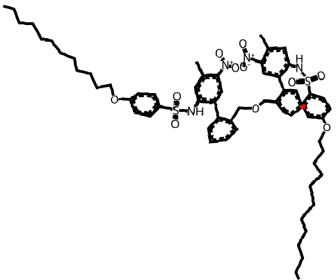 CCCCCCCCCCCCOc1ccc(S(=O)(=O)Nc2cc(C)c([N+](=O)[O-])cc2-c2ccccc2COCc2ccccc2-c2cc([N+](=O)[O-])c(C)cc2NS(=O)(=O)c2ccc(OCCCCCCCCCCCC)cc2)cc1